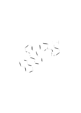 Cc1cccnc1-c1cccc(-c2c3ccccc3c(-c3cccc4ccccc34)c3ccccc23)c1